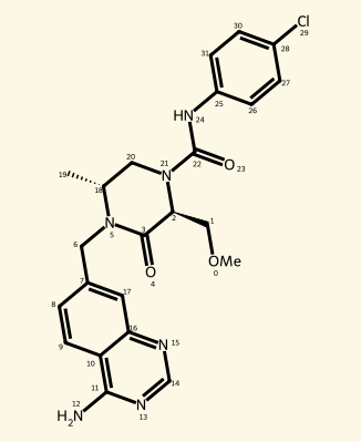 COC[C@H]1C(=O)N(Cc2ccc3c(N)ncnc3c2)[C@H](C)CN1C(=O)Nc1ccc(Cl)cc1